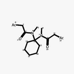 CC(=O)CC(=O)N(C)C1(N(C)C(=O)CC(C)=O)CCCCC1